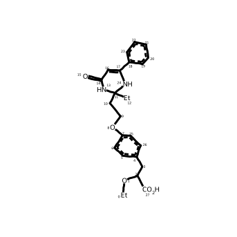 CCOC(Cc1ccc(OCCC2(CC)NC(=O)C=C(c3ccccc3)N2)cc1)C(=O)O